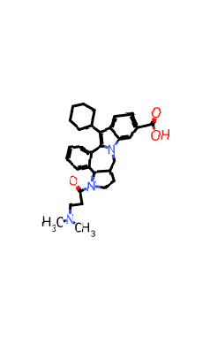 CN(C)CCC(=O)N1CCC2Cn3c(c(C4CCCCC4)c4ccc(C(=O)O)cc43)-c3ccccc3C21